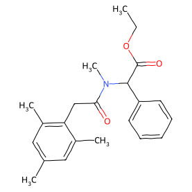 CCOC(=O)C(c1ccccc1)N(C)C(=O)Cc1c(C)cc(C)cc1C